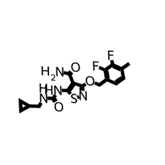 Cc1ccc(COc2nsc(NC(=O)NCC3CC3)c2C(N)=O)c(F)c1F